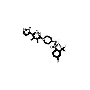 Cc1c(-c2ccnn2C)nnc(N2CCC(NS(=O)(=O)c3ccc(F)cc3C(F)(F)F)CC2)c1C